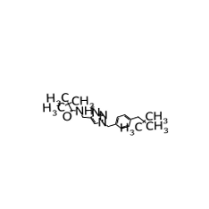 CC(C)(C)Cc1ccc(Cn2cc(CNC(=O)C(C)(C)C)nn2)cc1